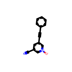 N#Cc1cc(C#Cc2ccccc2)c[n+]([O-])c1